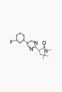 CN1C(=O)C(c2ncc(-c3cccc(F)c3)cn2)CC1(C)C